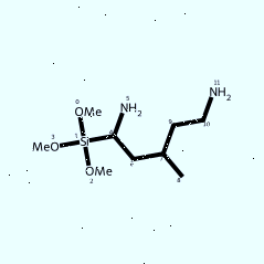 CO[Si](OC)(OC)C(N)CC(C)CCN